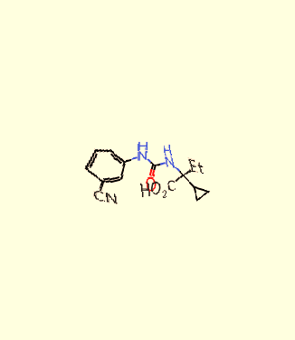 CC[C@](NC(=O)Nc1cccc(C#N)c1)(C(=O)O)C1CC1